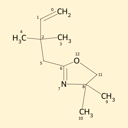 C=CC(C)(C)CC1=NC(C)(C)CO1